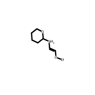 CCOC=C[SiH2]C1CCCCO1